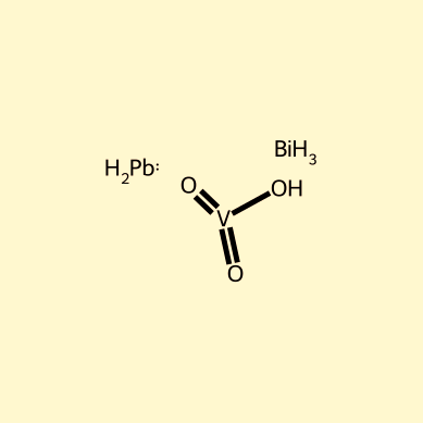 [BiH3].[O]=[V](=[O])[OH].[PbH2]